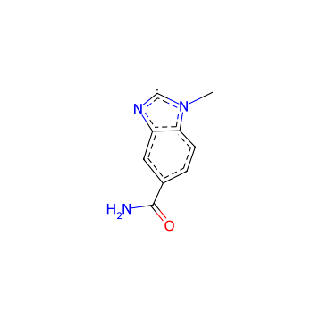 Cn1[c]nc2cc(C(N)=O)ccc21